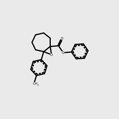 Cc1ccc(C23CCCCCC2(C(=O)Oc2ccccc2)O3)cc1